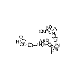 COc1cc2c(cc1N1CCN(C3CC(c4ccc(O[C@H]5CCC(=O)NC5=O)cc4)C3)CC1)[nH]c1ncnc(-c3ccc([C@@H](C)NC(=O)c4nc(C(C)(C)C)no4)c(C)c3)c12